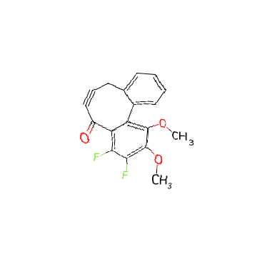 COc1c(F)c(F)c2c(c1OC)-c1ccccc1CC#CC2=O